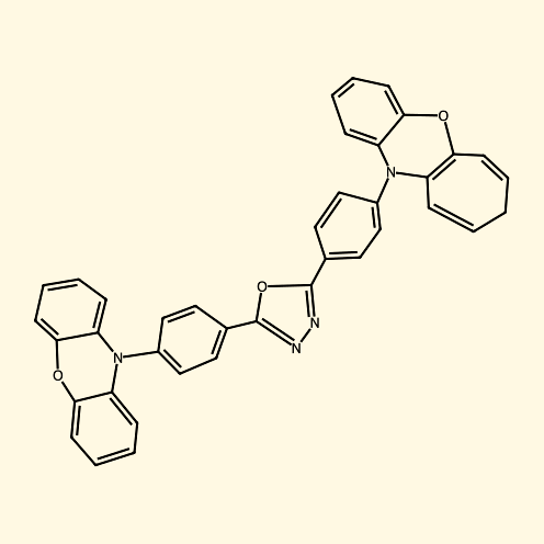 C1=CC2=C(C=CC1)N(c1ccc(-c3nnc(-c4ccc(N5c6ccccc6Oc6ccccc65)cc4)o3)cc1)c1ccccc1O2